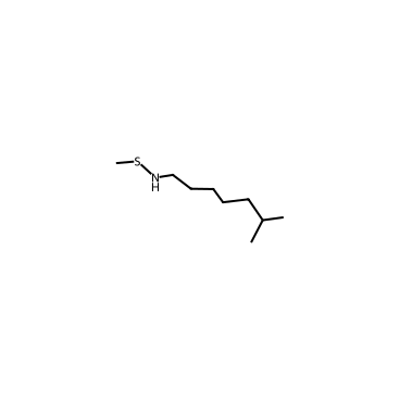 CSNCCCCCC(C)C